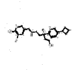 CC[C@](CCO)(CCNCc1cnc(C#N)c(Cl)c1)c1ccc(C2CCC2)cn1